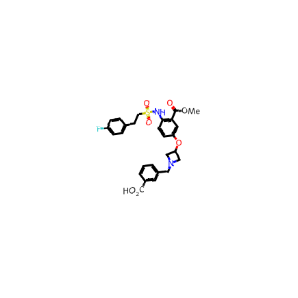 COC(=O)c1cc(OC2CN(Cc3cccc(C(=O)O)c3)C2)ccc1NS(=O)(=O)CCc1ccc(F)cc1